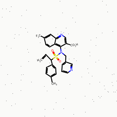 C=CC(c1ccc(C)cc1)S(=O)(=O)N(Cc1cccnc1)c1c(C(=O)O)cnc2cc(C(F)(F)F)ccc12